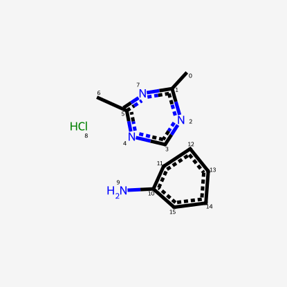 Cc1ncnc(C)n1.Cl.Nc1ccccc1